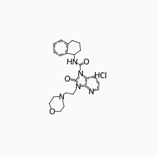 Cl.O=C(NC1CCCc2ccccc21)n1c(=O)n(CCN2CCOCC2)c2ncccc21